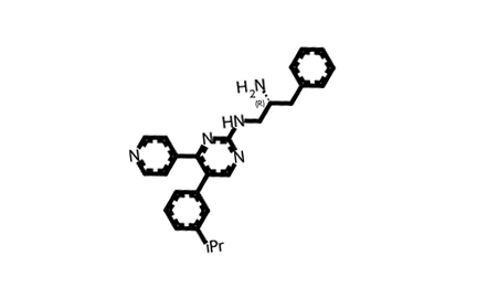 CC(C)c1cccc(-c2cnc(NC[C@H](N)Cc3ccccc3)nc2-c2ccncc2)c1